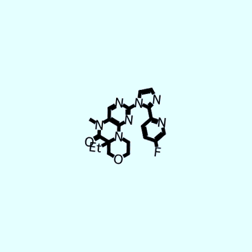 CCC12COCCN1c1nc(-n3ccnc3-c3ccc(F)cn3)ncc1N(C)C2=O